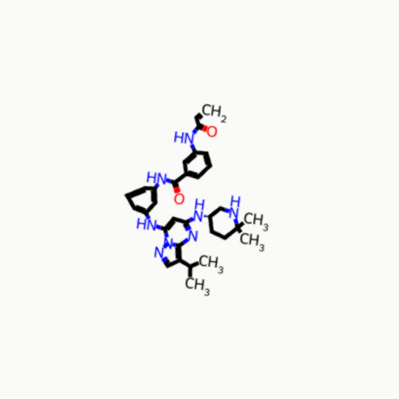 C=CC(=O)Nc1cccc(C(=O)Nc2cccc(Nc3cc(N[C@H]4CCC(C)(C)NC4)nc4c(C(C)C)cnn34)c2)c1